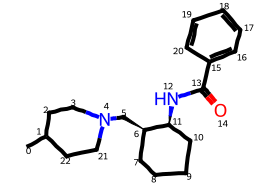 CC1CCN(C[C@@H]2CCCC[C@@H]2NC(=O)c2ccccc2)CC1